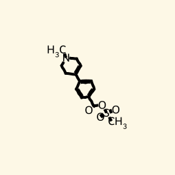 CN1CC=C(c2ccc(C(=O)OS(C)(=O)=O)cc2)CC1